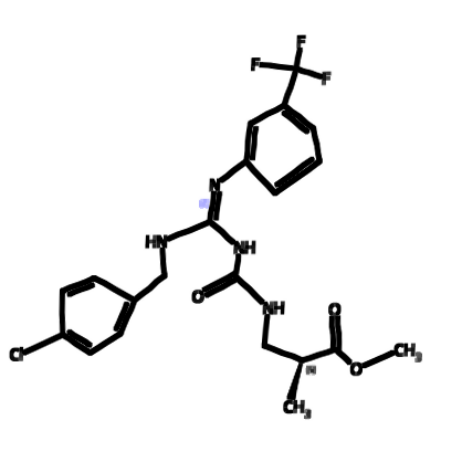 COC(=O)[C@@H](C)CNC(=O)N/C(=N\c1cccc(C(F)(F)F)c1)NCc1ccc(Cl)cc1